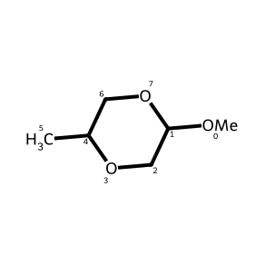 COC1COC(C)CO1